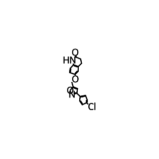 O=C1CCc2cc(OCc3cc(-c4ccc(Cl)cc4)no3)ccc2N1